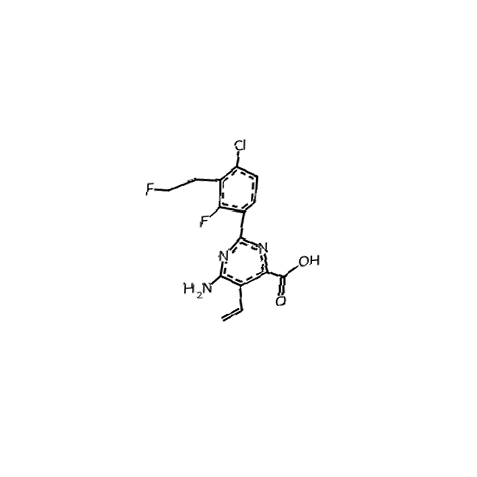 C=Cc1c(N)nc(-c2ccc(Cl)c(CCF)c2F)nc1C(=O)O